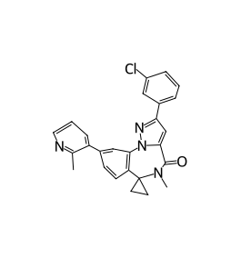 Cc1ncccc1-c1ccc2c(c1)-n1nc(-c3cccc(Cl)c3)cc1C(=O)N(C)C21CC1